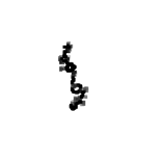 C[C@H](NC(=O)c1ccco1)C(=O)N1CCCN(CCCOc2ccc(-c3noc(COC(C)(C)C)n3)c(F)c2)CC1